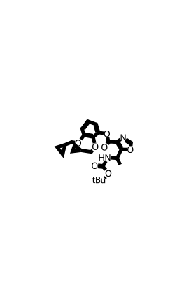 CC(NC(=O)OC(C)(C)C)c1ocnc1C(=O)Oc1cccc(OCC2CC2)c1OCC1CC1